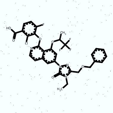 CCn1c(COCc2ccccc2)nn(-c2cc(OC(C)C(F)(F)F)c3c(Oc4c(F)ccc(C(=O)O)c4Cl)nccc3c2)c1=O